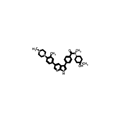 Cc1cc(-c2cnc3[nH]cc(-c4ccc(C(=O)N(C)[C@H]5CC[C@](C)(O)CC5)cc4)c3c2)ccc1N1CCN(C)CC1